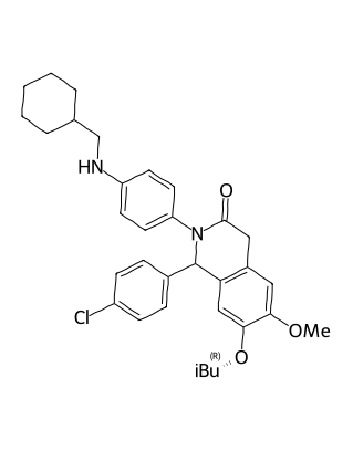 CC[C@@H](C)Oc1cc2c(cc1OC)CC(=O)N(c1ccc(NCC3CCCCC3)cc1)C2c1ccc(Cl)cc1